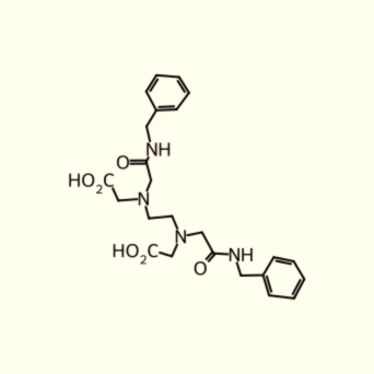 O=C(O)CN(CCN(CC(=O)O)CC(=O)NCc1ccccc1)CC(=O)NCc1ccccc1